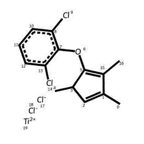 CC1=CC(C)C(Oc2c(Cl)cccc2Cl)=C1C.[Cl-].[Cl-].[Ti+2]